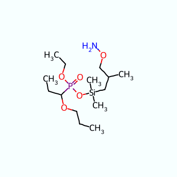 CCCOC(CC)P(=O)(OCC)O[Si](C)(C)CC(C)CON